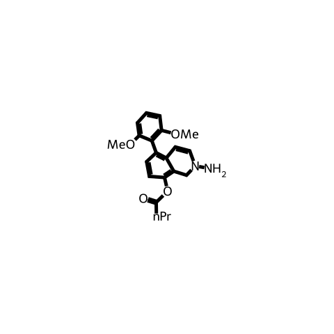 CCCC(=O)Oc1ccc(-c2c(OC)cccc2OC)c2c1CN(N)C=C2